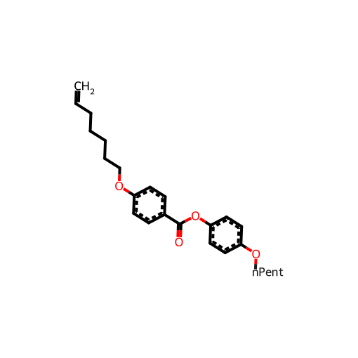 C=CCCCCCOc1ccc(C(=O)Oc2ccc(OCCCCC)cc2)cc1